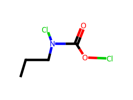 CCCN(Cl)C(=O)OCl